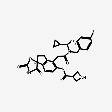 O=C1NC(=O)[C@]2(CCc3c2ccc(NC(=O)C2CNC2)c3CC(=O)N(Cc2ccc(F)cc2)C(C2CC2)C(F)(F)F)O1